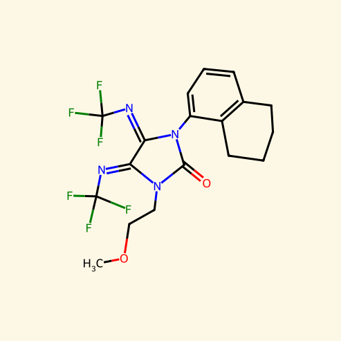 COCCN1C(=O)N(c2cccc3c2CCCC3)C(=NC(F)(F)F)C1=NC(F)(F)F